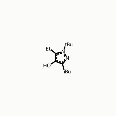 CCc1c(O)c(C(C)CC)nn1C(C)(C)C